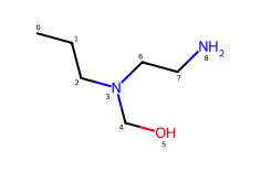 CCCN(CO)CCN